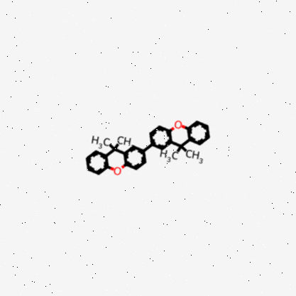 CC1(C)c2ccccc2Oc2ccc(-c3ccc4c(c3)C(C)(C)c3ccccc3O4)cc21